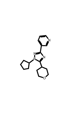 [c]1cncc(-c2nc(C3CCOCC3)n(C3CCCC3)n2)c1